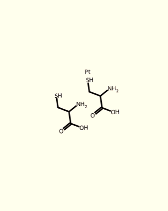 NC(CS)C(=O)O.NC(CS)C(=O)O.[Pt]